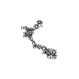 COc1cc(N2CCN(C(=O)COCCOCC(=O)NC(C(=O)N3C[C@H](O)C[C@H]3C(=O)NCc3ccc(-c4scnc4C)cc3)C(C)(C)C)CC2)ccc1Nc1ncc(Cl)c(Nc2ccccc2P(C)(C)=O)n1